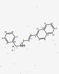 C[C@@H](NC/C=C/c1ccc2ccccc2c1)c1ccccc1